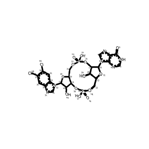 O=c1[nH]cnc2c1ncn2C1OC2COP(=O)(O)OC3C(COP(=O)(O)OC1C2O)OC(n1cnc2cc(Cl)c(Cl)cc21)C3O